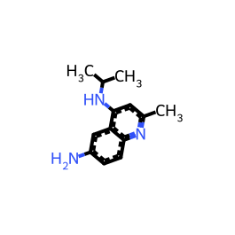 Cc1cc(NC(C)C)c2cc(N)ccc2n1